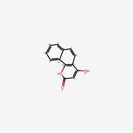 O=c1cc(O)c2ccc3ccccc3c2o1